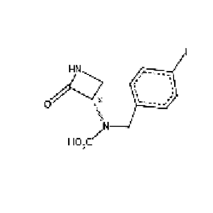 O=C1NC[C@@H]1N(Cc1ccc(I)cc1)C(=O)O